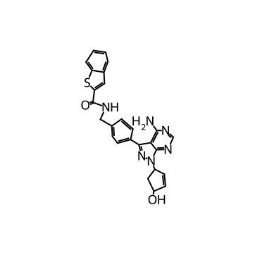 Nc1ncnc2c1c(-c1ccc(CNC(=O)c3cc4ccccc4s3)cc1)nn2C1C=CC(O)C1